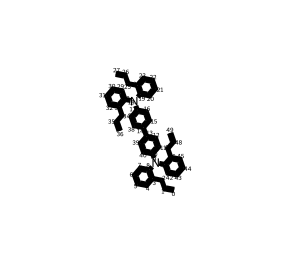 C=CCc1ccccc1N(c1ccc(-c2ccc(N(c3ccccc3CC=C)c3ccccc3CC=C)cc2)cc1)c1ccccc1CC=C